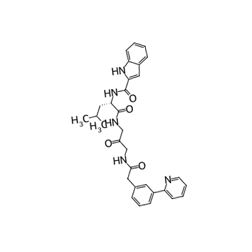 CC(C)C[C@H](NC(=O)c1cc2ccccc2[nH]1)C(=O)NCC(=O)CNC(=O)Cc1cccc(-c2ccccn2)c1